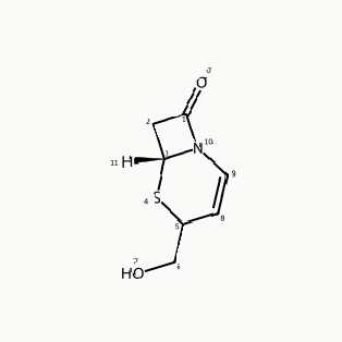 O=C1C[C@H]2SC(CO)C=CN12